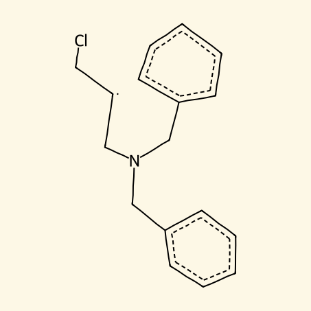 ClC[CH]CN(Cc1ccccc1)Cc1ccccc1